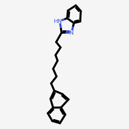 c1ccc2cc(CCCCCCCc3nc4ccccc4[nH]3)ccc2c1